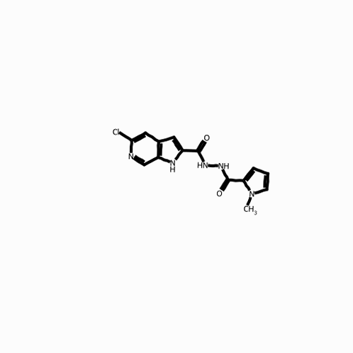 Cn1cccc1C(=O)NNC(=O)c1cc2cc(Cl)ncc2[nH]1